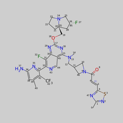 Cc1nsc(/C=C/C(=O)N2CC(CN(C)c3nc(OC[C@@]45CCCN4C[C@H](F)C5)nc4c(F)c(-c5nc(N)cc(C)c5C(F)(F)F)ncc34)C2)n1